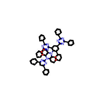 c1ccc(-c2cc(-c3ccccc3)nc(N3c4ccccc4N(c4c(-c5ccccc5)cc(-c5nc(-c6ccccc6)nc(-c6ccccc6)n5)cc4-c4nc(-c5ccccc5)nc(-c5ccccc5)n4)c4ccccc43)n2)cc1